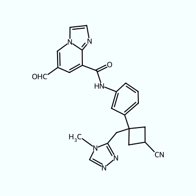 Cn1cnnc1CC1(c2cccc(NC(=O)c3cc(C=O)cn4ccnc34)c2)CC(C#N)C1